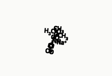 CC(OC(=O)NC[C@H]1CC[C@H](C(=O)[O-])CC1)OC(=O)C(C)C.[Na+]